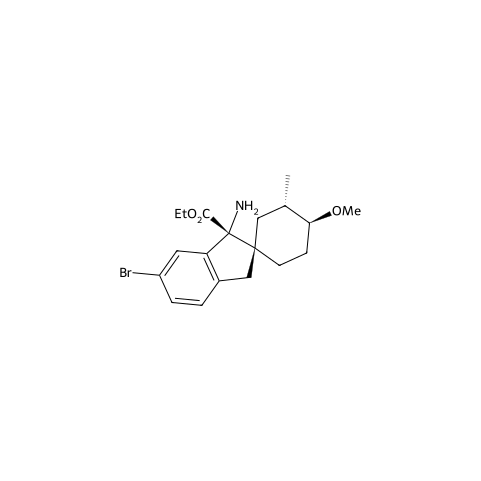 CCOC(=O)[C@]1(N)c2cc(Br)ccc2C[C@@]12CC[C@H](OC)[C@@H](C)C2